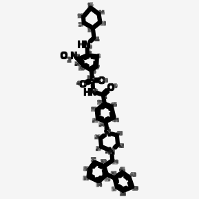 O=C(NS(=O)(=O)c1ccc(NCC2CCCCC2)c([N+](=O)[O-])c1)c1ccc(N2CCN(Cc3ccccc3-c3ccccc3)CC2)cc1